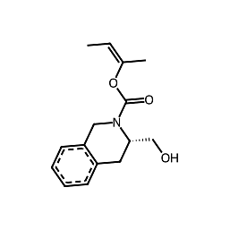 C/C=C(/C)OC(=O)N1Cc2ccccc2C[C@H]1CO